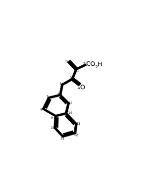 C=C(C(=O)O)C(=O)Cc1ccc2ccccc2c1